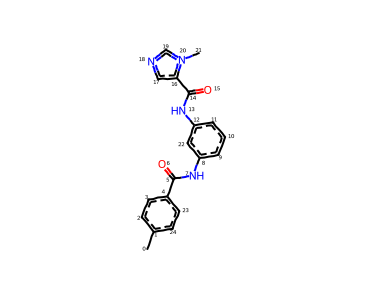 Cc1ccc(C(=O)Nc2cccc(NC(=O)c3cncn3C)c2)cc1